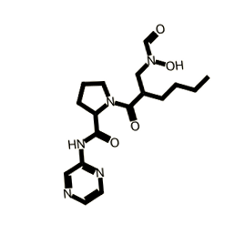 CCCCC(CN(O)C=O)C(=O)N1CCCC1C(=O)Nc1cnccn1